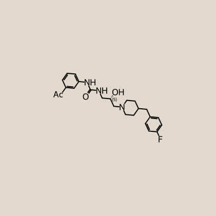 CC(=O)c1cccc(NC(=O)NC[C@H](O)CN2CCC(Cc3ccc(F)cc3)CC2)c1